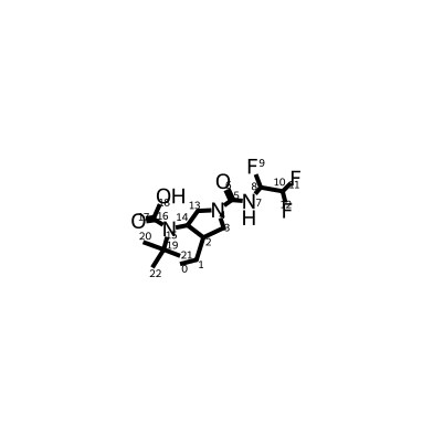 CCC1CN(C(=O)NC(F)C(F)F)CC1N(C(=O)O)C(C)(C)C